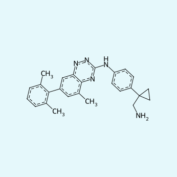 Cc1cccc(C)c1-c1cc(C)c2nc(Nc3ccc(C4(CN)CC4)cc3)nnc2c1